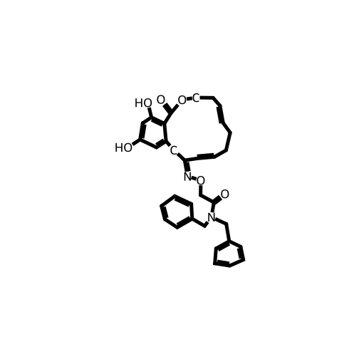 O=C1OCC/C=C/CC/C=C/C(=N\OCC(=O)N(Cc2ccccc2)Cc2ccccc2)Cc2cc(O)cc(O)c21